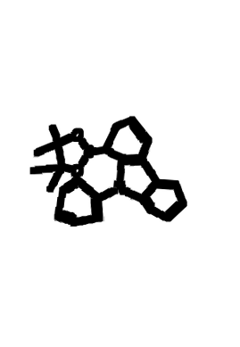 CC1(C)OB(C2CC=Cc3c2n(-c2ccccc2)c2ccccc32)OC1(C)C